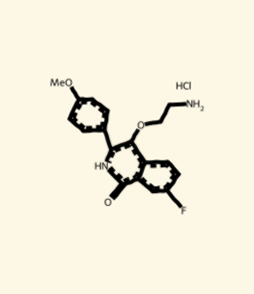 COc1ccc(-c2[nH]c(=O)c3cc(F)ccc3c2OCCN)cc1.Cl